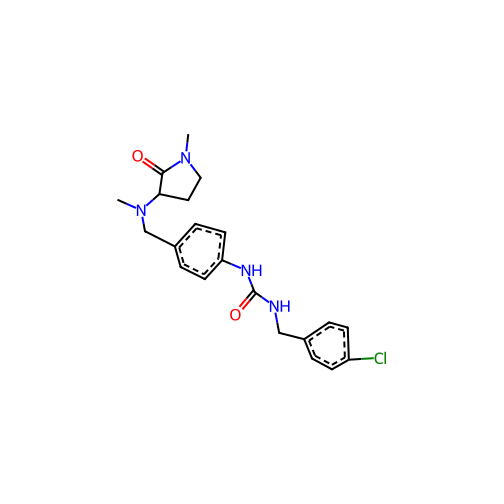 CN1CCC(N(C)Cc2ccc(NC(=O)NCc3ccc(Cl)cc3)cc2)C1=O